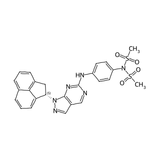 CS(=O)(=O)N(c1ccc(Nc2ncc3cnn([C@H]4Cc5cccc6cccc4c56)c3n2)cc1)S(C)(=O)=O